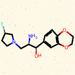 N[C@H](CN1CC[C@@H](F)C1)[C@H](O)c1ccc2c(c1)OCCO2